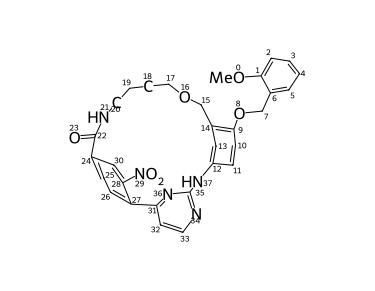 COc1ccccc1COc1ccc2cc1COCCCCNC(=O)c1ccc(c([N+](=O)[O-])c1)-c1ccnc(n1)N2